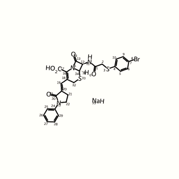 O=C(CSc1ccc(Br)cc1)N[C@@H]1C(=O)N2C(C(=O)O)=C(/C=C3\CCN(c4ccccc4)C3=O)CS[C@H]12.[NaH]